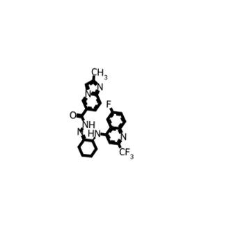 Cc1cn2cc(C(=O)N/N=C3/CCCC[C@@H]3Nc3cc(C(F)(F)F)nc4ccc(F)cc34)ccc2n1